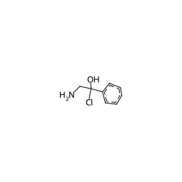 NCC(O)(Cl)c1ccccc1